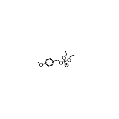 CCOP(=O)(OCC)OCc1ccc(OC)cc1